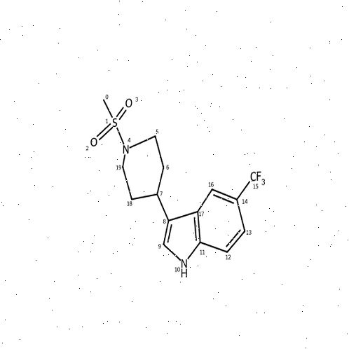 CS(=O)(=O)N1CCC(c2c[nH]c3ccc(C(F)(F)F)cc23)CC1